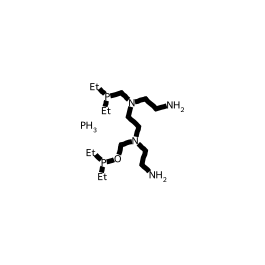 CCP(CC)CN(CCN)CCN(CCN)COP(CC)CC.P